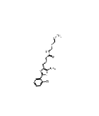 COCCCNC(=O)CSCc1nc(-c2ccccc2Cl)oc1C